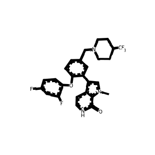 Cn1cc(-c2cc(CN3CCC(C(F)(F)F)CC3)ccc2Oc2ccc(F)cc2F)c2cc[nH]c(=O)c21